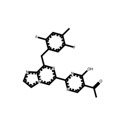 CC(=O)c1cnc(-c2cn3ccnc3c(Cc3cc(F)c(C)cc3F)n2)nc1O